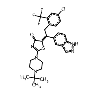 CC(C)(C)N1CCN(C2=NC(=O)C(=C(Cc3ccc(Cl)cc3C(F)(F)F)c3ccc4[nH]ncc4c3)S2)CC1